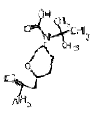 CC(C)(C)N(C(=O)O)[C@@H]1CC[C@@H](CC(N)=O)OC1